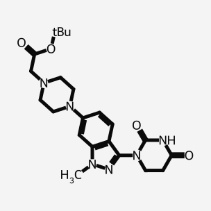 Cn1nc(N2CCC(=O)NC2=O)c2ccc(N3CCN(CC(=O)OC(C)(C)C)CC3)cc21